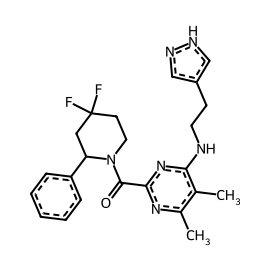 Cc1nc(C(=O)N2CCC(F)(F)CC2c2ccccc2)nc(NCCc2cn[nH]c2)c1C